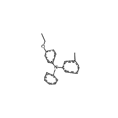 CCOc1ccc(N(c2ccccc2)c2cccc(C)c2)cc1